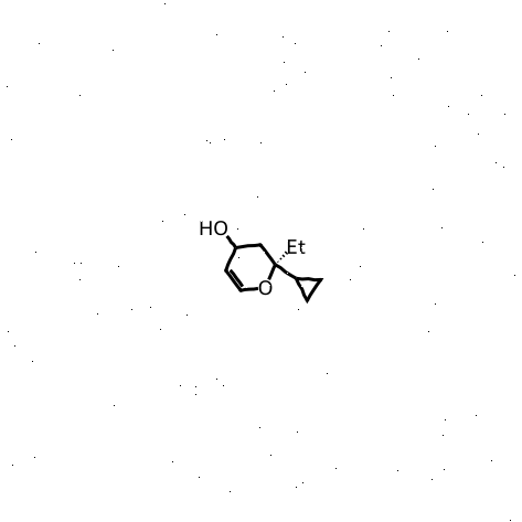 CC[C@@]1(C2CC2)CC(O)C=CO1